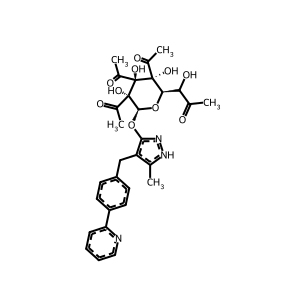 CC(=O)C(O)[C@H]1O[C@@H](Oc2n[nH]c(C)c2Cc2ccc(-c3ccccn3)cc2)[C@@](O)(C(C)=O)[C@](O)(C(C)=O)[C@@]1(O)C(C)=O